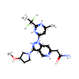 Cc1cc(-n2nc(N3CCC(OC(C)C)C3)c3cnc(CC(N)=O)cc32)nc(C(C)(F)F)n1